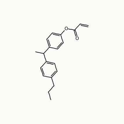 C=CC(=O)Oc1ccc(C(C)c2ccc(CCC)cc2)cc1